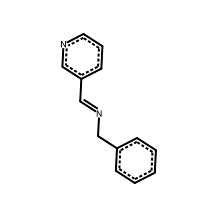 C(=NCc1ccccc1)c1cccnc1